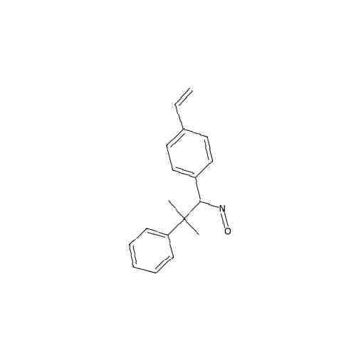 C=Cc1ccc(C(N=O)C(C)(C)c2ccccc2)cc1